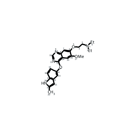 CCN(CC)CCOc1cc2ncnc(Oc3ccc4[nH]c(C)cc4c3)c2cc1OC